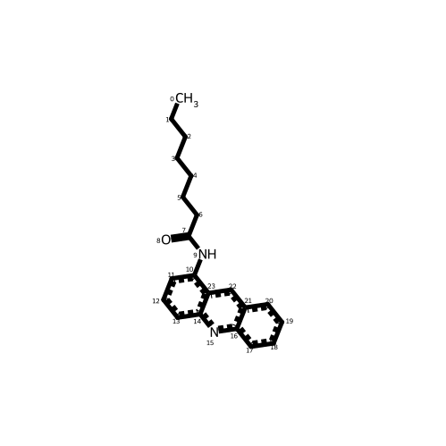 CCCCCCCC(=O)Nc1cccc2nc3ccccc3cc12